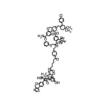 CC1(C)CCC(CN2CC3COc4cc(C(N)=O)ccc4N3C(S(=O)(=O)c3ccc(N[C@H](CCN4CCN(C(=O)CCCCCC(=O)N[C@H](C(=O)N5C[C@H](O)C[C@H]5NC(=O)[C@@H](CO)c5ccc6c(c5)OCc5ncsc5-6)C(C)(C)C)CC4)CSc4ccccc4)c(S(=O)(=O)C(F)(F)F)c3)C2)=C(c2ccc(Cl)cc2)C1